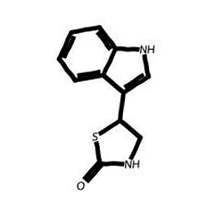 O=C1NCC(c2c[nH]c3ccccc23)S1